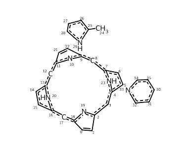 C1=Cc2cc3ccc(cc4nc(cc5ccc(cc1n2)[nH]5)C=C4)[nH]3.Cc1ccc[nH]1.c1ccncc1